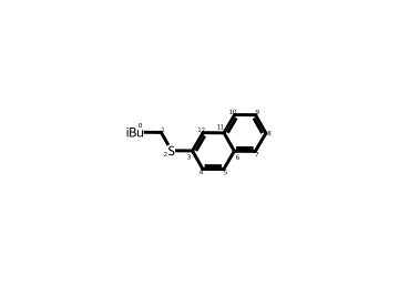 CCC(C)CSc1ccc2ccccc2c1